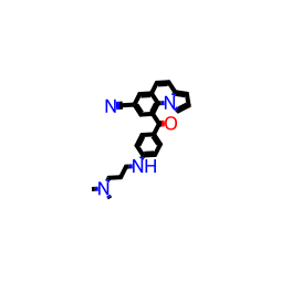 CN(C)CCCNc1ccc(C(=O)c2cc(C#N)cc3ccc4cccn4c23)cc1